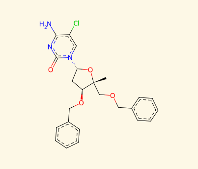 C[C@]1(COCc2ccccc2)O[C@@H](n2cc(Cl)c(N)nc2=O)C[C@@H]1OCc1ccccc1